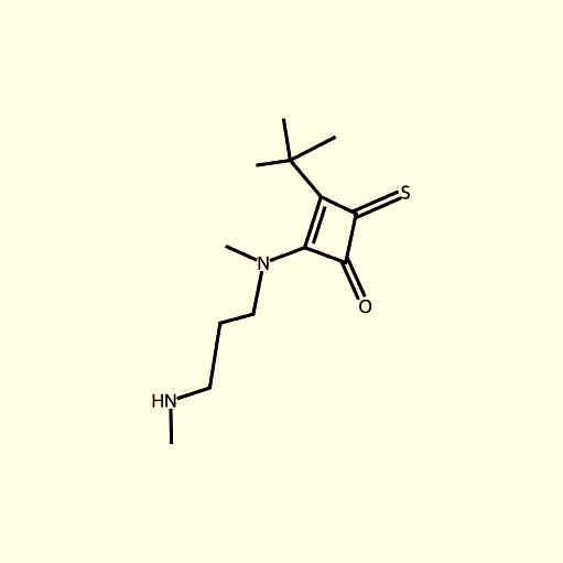 CNCCCN(C)c1c(C(C)(C)C)c(=S)c1=O